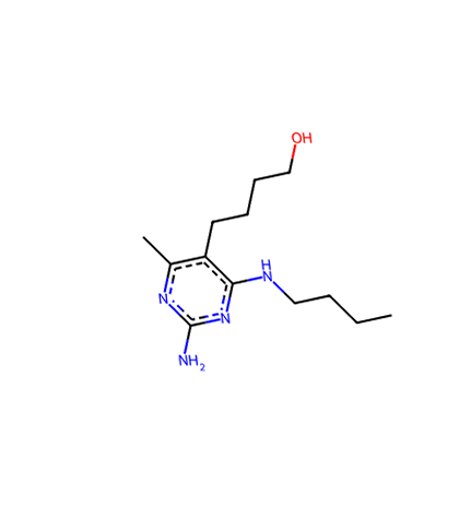 CCCCNc1nc(N)nc(C)c1CCCCO